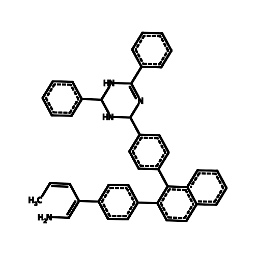 C/C=C\C(=C/N)c1ccc(-c2ccc3ccccc3c2-c2ccc(C3N=C(c4ccccc4)NC(c4ccccc4)N3)cc2)cc1